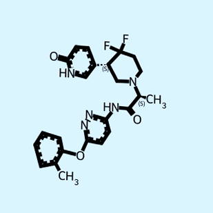 Cc1ccccc1Oc1ccc(NC(=O)[C@H](C)N2CCC(F)(F)[C@@H](c3ccc(=O)[nH]c3)C2)nn1